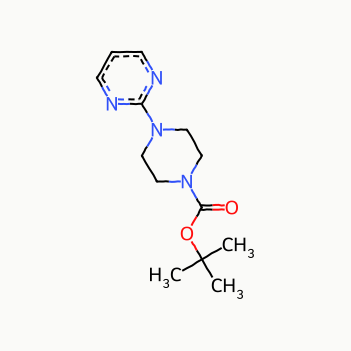 CC(C)(C)OC(=O)N1CCN(c2ncccn2)CC1